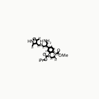 COC(=O)N1c2ccc(C(CN)CNCC3C(C)NOC3C)cc2N(C(=O)OC(C)C)C[C@@H]1C